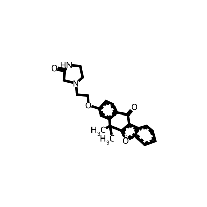 CC1(C)c2cc(OCCN3CCNC(=O)C3)ccc2C(=O)c2c1oc1ccccc21